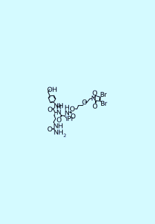 CC(C)[C@H](NC(=O)OCCCOCCN1C(=O)C(Br)=C(Br)C1=O)C(=O)N[C@@H](CCCNC(N)=O)C(=O)Nc1ccc(CO)cc1